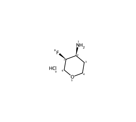 Cl.N[C@H]1CCOC[C@H]1F